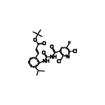 CC(C)c1cccc(/C=C/C(=O)OC(C)(C)C)c1NC(=O)NC(=O)c1cc(F)c(Cl)nc1Cl